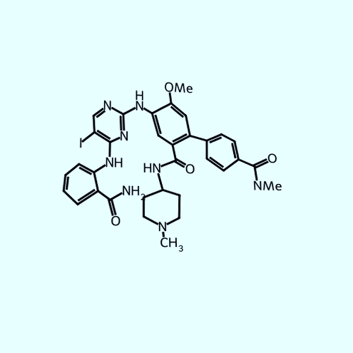 CNC(=O)c1ccc(-c2cc(OC)c(Nc3ncc(I)c(Nc4ccccc4C(N)=O)n3)cc2C(=O)NC2CCN(C)CC2)cc1